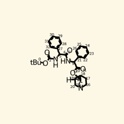 CC(C)(C)OC(=O)NC(C(=O)NC(C(=O)O[C@H]1CN2CCC1CC2)c1ccccc1)c1ccccc1